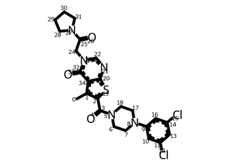 Cc1c(C(=O)N2CCN(c3cc(Cl)cc(Cl)c3)CC2)sc2ncn(CC(=O)N3CCCC3)c(=O)c12